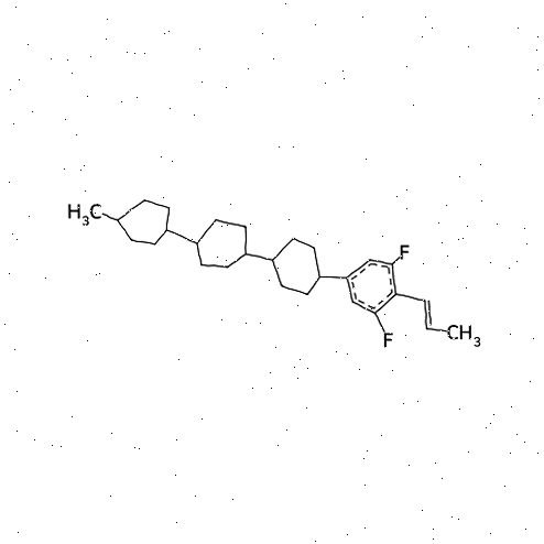 C/C=C/c1c(F)cc(C2CCC(C3CCC(C4CCC(C)CC4)CC3)CC2)cc1F